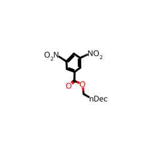 [CH2]CCCCCCCCCCOC(=O)c1cc([N+](=O)[O-])cc([N+](=O)[O-])c1